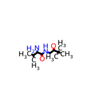 CC(C)C(N)C(=O)NCC(=O)C(C)(C)C